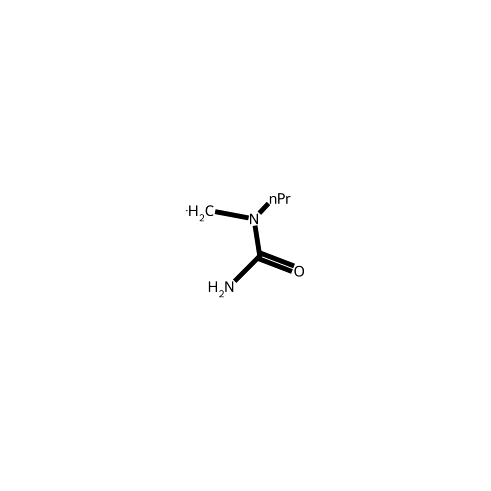 [CH2]N(CCC)C(N)=O